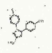 CCOC(=O)c1cc(-c2ccc(SC)cc2)n(-c2ccc(C)cc2)n1